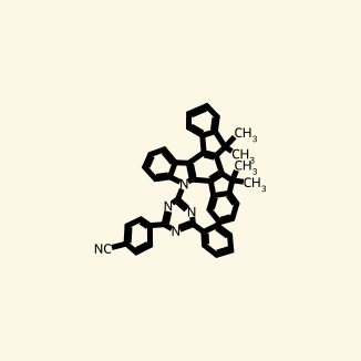 CC1(C)c2ccccc2-c2c1c1c(c3c2c2ccccc2n3-c2nc(-c3ccccc3)nc(-c3ccc(C#N)cc3)n2)-c2ccccc2C1(C)C